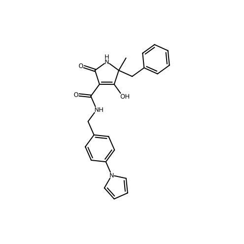 CC1(Cc2ccccc2)NC(=O)C(C(=O)NCc2ccc(-n3cccc3)cc2)=C1O